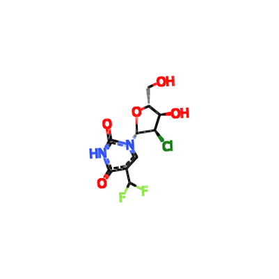 O=c1[nH]c(=O)n([C@@H]2O[C@H](CO)[C@@H](O)[C@H]2Cl)cc1C(F)F